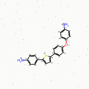 Nc1ccc(Oc2ccc(-c3ccc(-c4ccc(N)cc4)s3)cc2)cc1